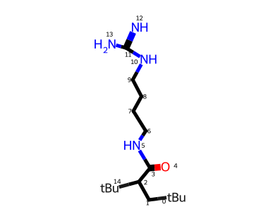 CC(C)(C)CC(C(=O)NCCCCNC(=N)N)C(C)(C)C